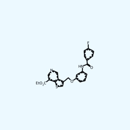 CCOC(=O)c1cncc2c(COc3cccc(NC(=O)c4ccc(F)cc4)c3)csc12